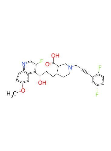 COc1ccc2ncc(F)c(C(O)CCC3CCN(CC#Cc4cc(F)ccc4F)CC3C(=O)O)c2c1